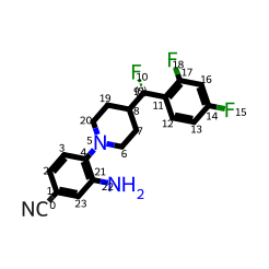 N#Cc1ccc(N2CCC([C@H](F)c3ccc(F)cc3F)CC2)c(N)c1